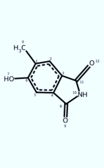 Cc1cc2c(cc1O)C(=O)NC2=O